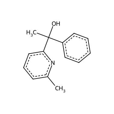 Cc1cccc(C(C)(O)c2ccccc2)n1